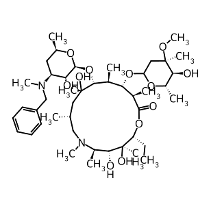 CC[C@H]1OC(=O)[C@H](C)[C@@H](OC2C[C@@](C)(OC)[C@@H](O)[C@H](C)O2)[C@H](C)[C@@H](O[C@@H]2O[C@H](C)C[C@H](N(C)Cc3ccccc3)[C@H]2O)[C@@](C)(O)C[C@@H](C)CN(C)[C@H](C)[C@@H](O)[C@]1(C)O